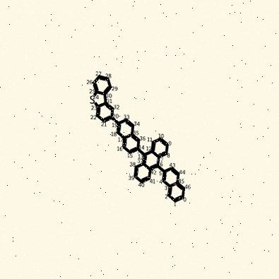 c1ccc2cc(-c3c4ccccc4c(-c4ccc5cc(-c6ccc7sc8ccccc8c7c6)ccc5c4)c4ccccc34)ccc2c1